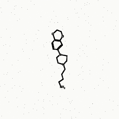 NCCCCN1CCN(c2ccc3c(c2)OCCO3)CC1